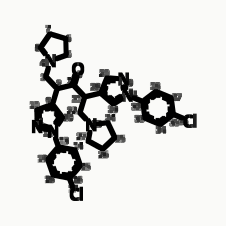 O=C(C(CN1CCCC1)c1cnn(-c2ccc(Cl)cc2)c1)C(CN1CCCC1)c1cnn(-c2ccc(Cl)cc2)c1